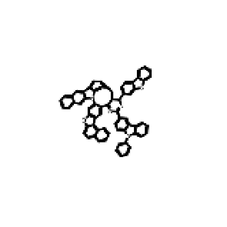 c1ccc(-n2c3ccccc3c3cc(C4=NC(c5ccc6c(c5)sc5ccccc56)C5Cc6ccc7c8cc9ccccc9cc8n(c7c6)-c6cc7oc8ccc9ccccc9c8c7cc6C5=N4)ccc32)cc1